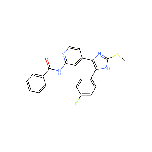 CSc1nc(-c2ccnc(NC(=O)c3ccccc3)c2)c(-c2ccc(F)cc2)[nH]1